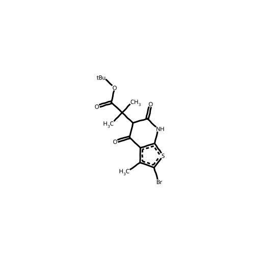 Cc1c(Br)sc2c1C(=O)C(C(C)(C)C(=O)OC(C)(C)C)C(=O)N2